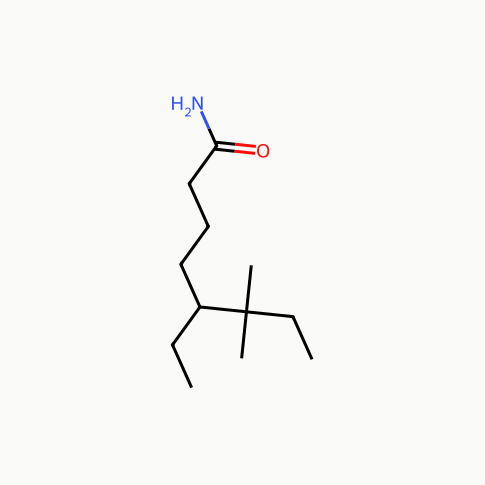 CCC(CCCC(N)=O)C(C)(C)CC